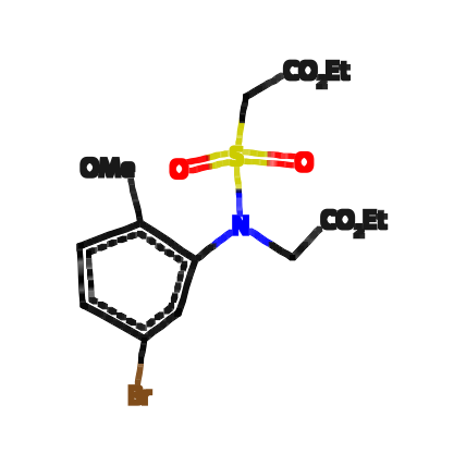 CCOC(=O)CN(c1cc(Br)ccc1OC)S(=O)(=O)CC(=O)OCC